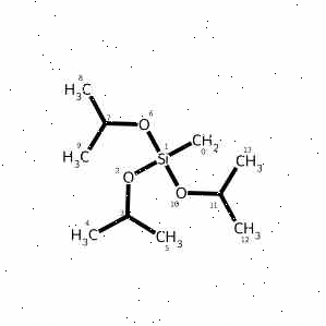 [CH2][Si](OC(C)C)(OC(C)C)OC(C)C